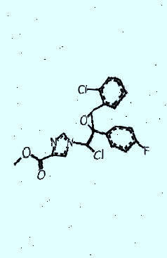 COC(=O)c1cn(C(Cl)C2(c3ccc(F)cc3)OC2c2ccccc2Cl)cn1